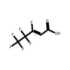 O=C(O)/C=C(\F)C(F)(F)C(F)(F)F